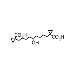 O=C(O)C1(CCCCC(O)CCCCC2(C(=O)O)CC2)CC1